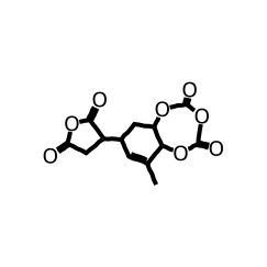 CC1=CC(C2CC(=O)OC2=O)CC2OC(=O)OC(=O)OC12